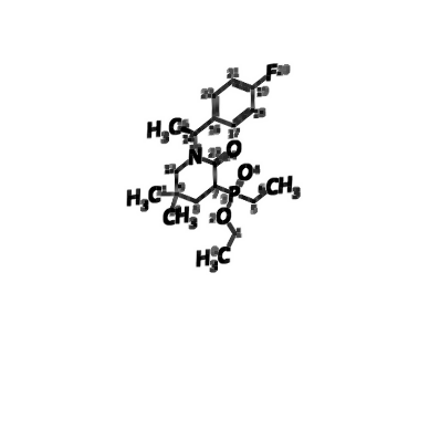 CCOP(=O)(CC)C1CC(C)(C)CN([C@@H](C)c2ccc(F)cc2)C1=O